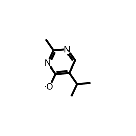 Cc1ncc(C(C)C)c([O])n1